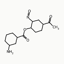 CC(=O)C1CCC(OC(=O)C2CCCC(N)C2)C(N=O)C1